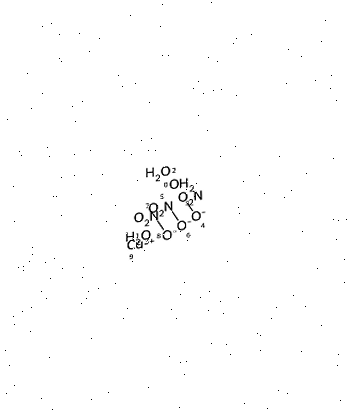 O.O.O.O=[N+]([O-])[O-].O=[N+]([O-])[O-].O=[N+]([O-])[O-].[Cu+3]